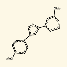 COc1ccc(-n2cnc(-c3cccc(OC)c3)c2)cc1